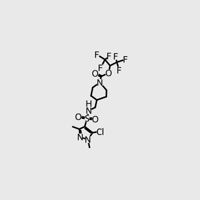 Cc1nn(C)c(Cl)c1S(=O)(=O)NCC1CCN(C(=O)OC(C(F)(F)F)C(F)(F)F)CC1